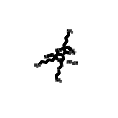 Cl.Cl.[N-]=[N+]=NC(N)(CCCCN)C(=O)N(CCSSCCN)C(=O)C(N)(CCCCN)N=[N+]=[N-]